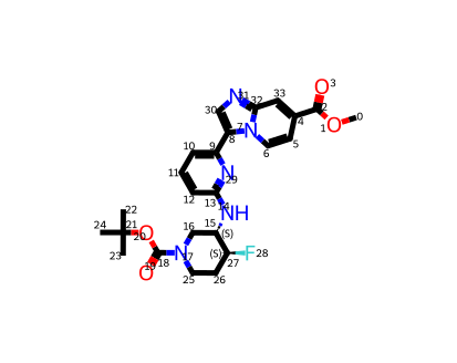 COC(=O)c1ccn2c(-c3cccc(N[C@H]4CN(C(=O)OC(C)(C)C)CC[C@@H]4F)n3)cnc2c1